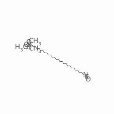 CO[Si](CCCCCCCCCCCCCCCCCCCCCCCCCCCCN=C=O)(OC)OC